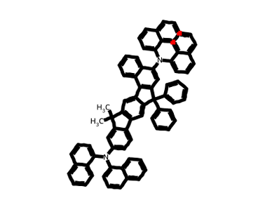 CC1(C)c2cc(N(c3cccc4ccccc34)c3cccc4ccccc34)ccc2-c2cc3c(cc21)-c1c(cc(N(c2cccc4ccccc24)c2cccc4ccccc24)c2ccccc12)C3(c1ccccc1)c1ccccc1